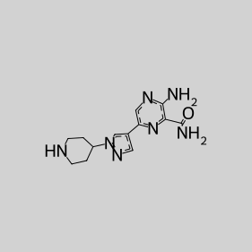 NC(=O)c1nc(-c2cnn(C3CCNCC3)c2)cnc1N